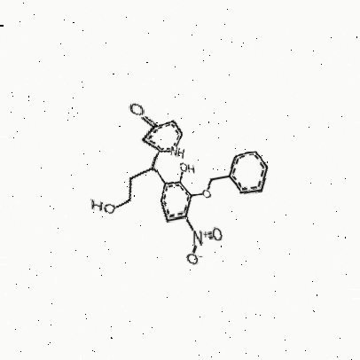 O=c1cc[nH]c(C(CCO)c2ccc([N+](=O)[O-])c(OCc3ccccc3)c2O)c1